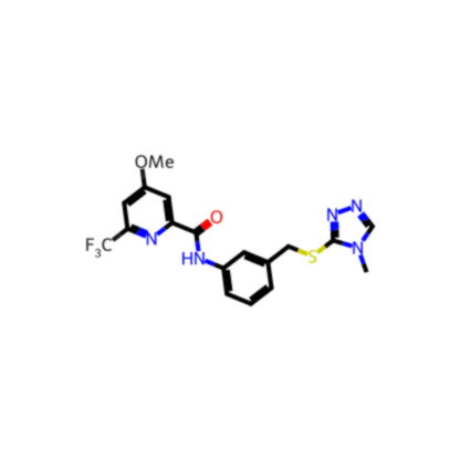 COc1cc(C(=O)Nc2cccc(CSc3nncn3C)c2)nc(C(F)(F)F)c1